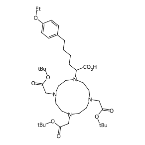 CCOc1ccc(CCCCC(C(=O)O)N2CCN(CC(=O)OC(C)(C)C)CCN(CC(=O)OC(C)(C)C)CCN(CC(=O)OC(C)(C)C)CC2)cc1